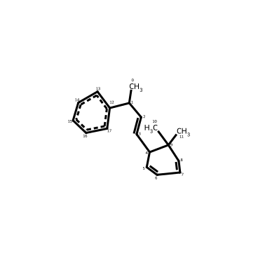 CC(C=CC1C=CC=CC1(C)C)c1ccccc1